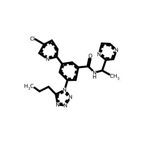 CCCc1nnnn1-c1cc(C(=O)NC(C)c2cnccn2)cc(-c2ccc(Cl)cn2)c1